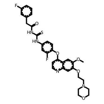 COc1cc2c(Oc3ccc(NC(=S)NC(=O)Cc4cccc(F)c4)cc3F)ccnc2cc1OCCN1CCOCC1